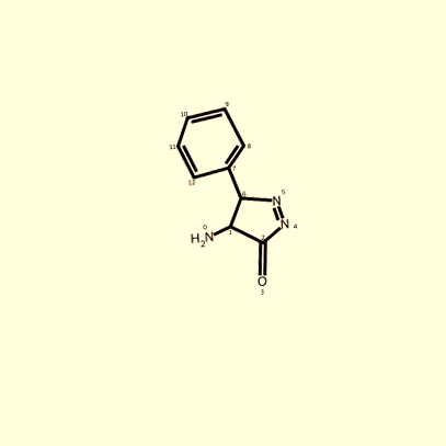 NC1C(=O)N=NC1c1ccccc1